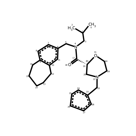 CC(C)CN(Cc1ccc2c(c1)CCCCC2)C(=O)[C@H]1CN(Cc2ccccc2)CCO1